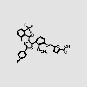 COc1c(OCc2ccc(C(=O)O)o2)cccc1C1SC(c2ccc(F)cc2)=NN1C(=O)c1c(F)cccc1C(F)(F)F